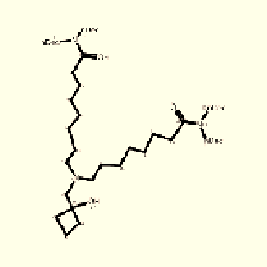 CCCCCCCCCCN(CCCCCCCCCC)C(=O)CCCCCCCN(CCCCCCCC(=O)N(CCCCCCCCCC)CCCCCCCCCC)CC1(O)CCC1